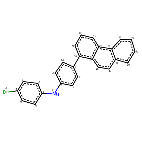 Brc1ccc(Nc2ccc(-c3cccc4c3ccc3ccccc34)cc2)cc1